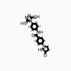 O=C1CCN(c2ccc(C(=O)Nc3ccc(-n4c(S)nnc4S)cc3)cc2)N1